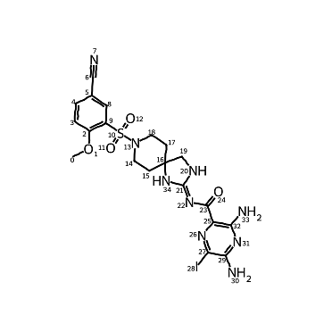 COc1ccc(C#N)cc1S(=O)(=O)N1CCC2(CC1)CN/C(=N\C(=O)c1nc(I)c(N)nc1N)N2